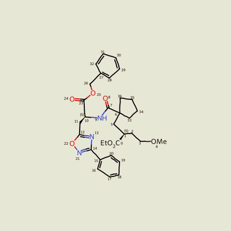 CCOC(=O)[C@H](CCOC)CC1(C(=O)N[C@@H](Cc2nc(-c3ccccc3)no2)C(=O)OCc2ccccc2)CCCC1